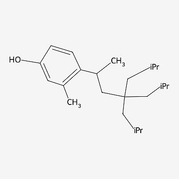 Cc1cc(O)ccc1C(C)CC(CC(C)C)(CC(C)C)CC(C)C